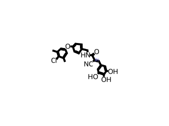 Cc1cc(Oc2ccc(CNC(=O)/C(C#N)=C/c3cc(O)c(O)c(O)c3)cc2)cc(C)c1Cl